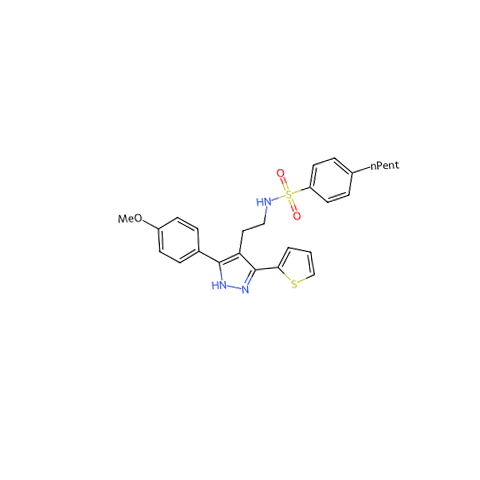 CCCCCc1ccc(S(=O)(=O)NCCc2c(-c3cccs3)n[nH]c2-c2ccc(OC)cc2)cc1